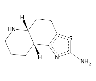 Nc1nc2c(s1)CC[C@H]1NCCC[C@@H]21